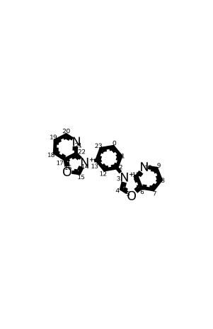 c1cc(-[n+]2coc3cccnc32)cc(-[n+]2coc3cccnc32)c1